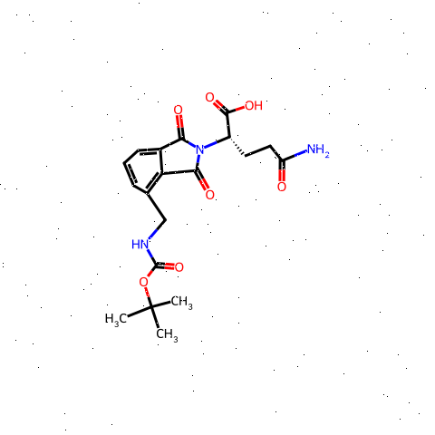 CC(C)(C)OC(=O)NCc1cccc2c1C(=O)N([C@@H](CCC(N)=O)C(=O)O)C2=O